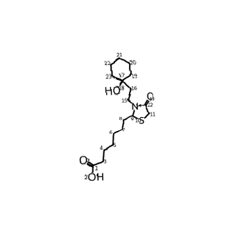 O=C(O)CCCCCCC1SCC(=O)N1CCC1(O)CCCCC1